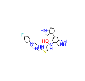 OC(NC1C=C(C2CC=CC3NCCC32)CC2NNCC12)C1CSC(CN2CCN(C3C=CC(F)CC3)CC2)N1